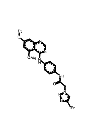 CCOc1cc(OC)c2c(Nc3ccc(NC(=O)Cn4cc(C(C)C)nn4)cc3)ncnc2c1